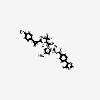 Cc1ncsc1-c1ccc([C@H](C)NC(=O)[C@@H]2C[C@@H](O)CN2C(=O)[C@@H](NC(=O)C2CC2c2ccc(Br)cc2)C(C)(C)C)cc1